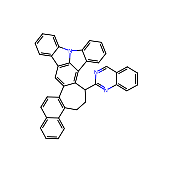 c1ccc2nc(C3CCc4c(ccc5ccccc45)-c4cc5c6ccccc6n6c7ccccc7c(c43)c56)ncc2c1